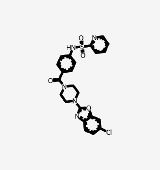 O=C(c1ccc(NS(=O)(=O)c2ccccn2)cc1)N1CCN(c2nc3ccc(Cl)cc3o2)CC1